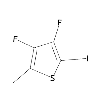 Cc1sc(I)c(F)c1F